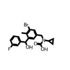 Cc1c(Br)cc(CN(C(=O)O)C2CC2)cc1C(O)c1cccc(F)c1